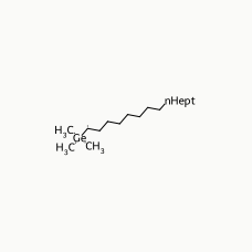 CCCCCCCCCCCCCC[CH][Ge]([CH3])([CH3])[CH3]